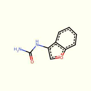 NC(=O)Nc1coc2ccccc12